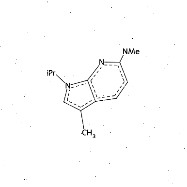 CNc1ccc2c(C)cn(C(C)C)c2n1